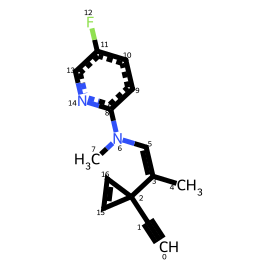 C#CC1(/C(C)=C\N(C)c2ccc(F)cn2)C=C1